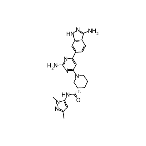 Cc1cc(NC(=O)[C@H]2CCCN(c3cc(-c4ccc5c(N)n[nH]c5c4)nc(N)n3)C2)n(C)n1